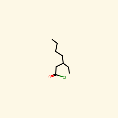 CCCCC(CC)CC(=O)Cl